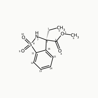 CC[C@@]1(C(=O)OC)NS(=O)(=O)c2ccccc21